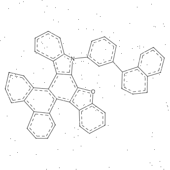 c1cc(-c2cccc3ccccc23)cc(-n2c3ccccc3c3c4c5ccccc5c5ccccc5c4c4c5ccccc5oc4c32)c1